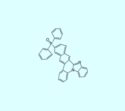 O=P(c1ccccc1)(c1ccccc1)c1ccc2cc3c(cc2c1)c1ccccc1n1c2ccccc2nc31